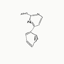 COc1nccc(-c2cc[c]cc2)n1